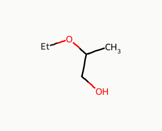 CCO[C](C)CO